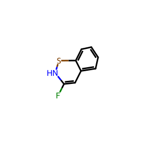 FC1=Cc2ccccc2SN1